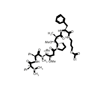 CCC(=O)OCCCNC(=O)[C@H](Cc1ccccc1)NC(=O)[C@H](C)[C@@H](OC)[C@@H]1CCCN1C(=O)C[C@@H](OC)[C@H]([C@@H](C)CC)N(C)C(=O)[C@@H](NC(=O)[C@H](C(C)C)N(C)C)C(C)C